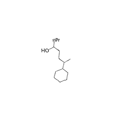 CCCC(O)CCC(C)C1CCCCC1